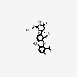 CN1C(=O)C[C@@](C)(c2cccc(Nc3c(N)ccc(F)c3C(F)F)c2F)N/C1=N\C(=O)O